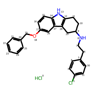 Cl.Clc1ccc(CCNC2CCc3[nH]c4ccc(OCc5ccccc5)cc4c3C2)cc1